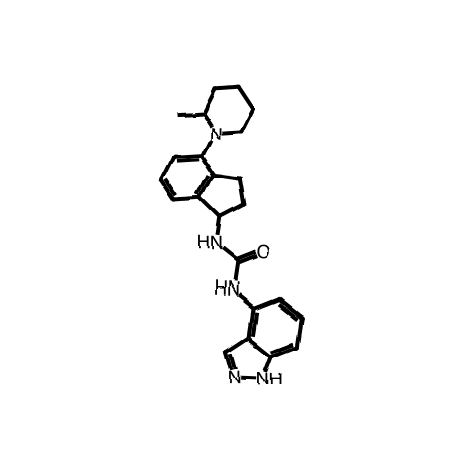 CC1CCCCN1c1cccc2c1CCC2NC(=O)Nc1cccc2[nH]ncc12